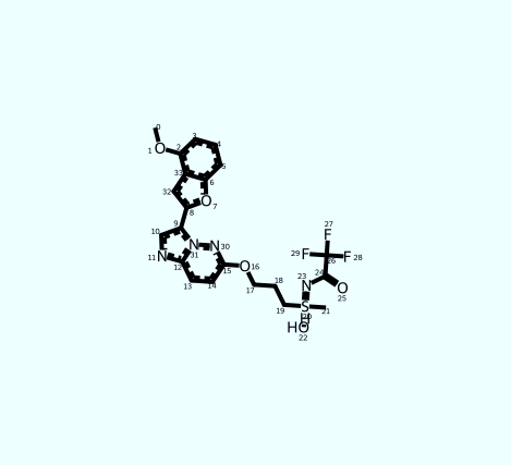 COc1cccc2oc(-c3cnc4ccc(OCCC[SH](C)(O)=NC(=O)C(F)(F)F)nn34)cc12